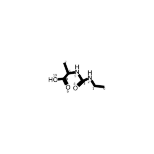 CCNC(=O)NC(C)C(=O)O